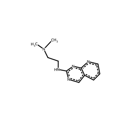 CN(C)CCNc1ncc2cccnc2n1